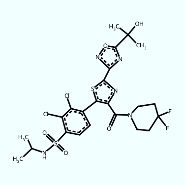 CC(C)NS(=O)(=O)c1ccc(-c2sc(-c3noc(C(C)(C)O)n3)nc2C(=O)N2CCC(F)(F)CC2)c(Cl)c1Cl